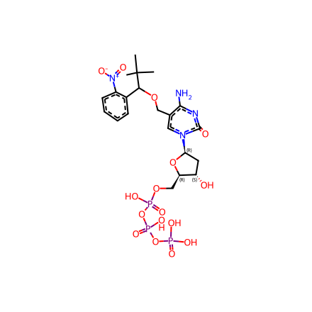 CC(C)(C)C(OCc1cn([C@H]2C[C@H](O)[C@@H](COP(=O)(O)OP(=O)(O)OP(=O)(O)O)O2)c(=O)nc1N)c1ccccc1[N+](=O)[O-]